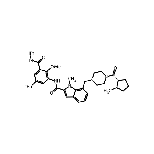 COc1c(NC(=O)c2cc3cccc(CN4CCN(C(=O)[C@@H]5CCCN5C)CC4)c3n2C)cc(C(C)(C)C)cc1C(=O)NC(C)C